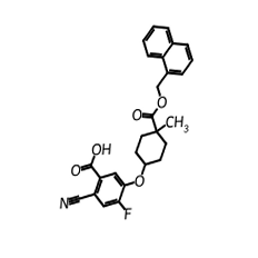 CC1(C(=O)OCc2cccc3ccccc23)CCC(Oc2cc(C(=O)O)c(C#N)cc2F)CC1